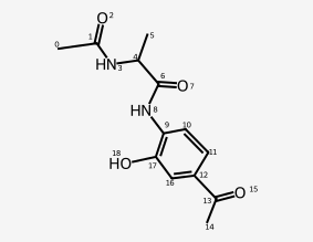 CC(=O)NC(C)C(=O)Nc1ccc(C(C)=O)cc1O